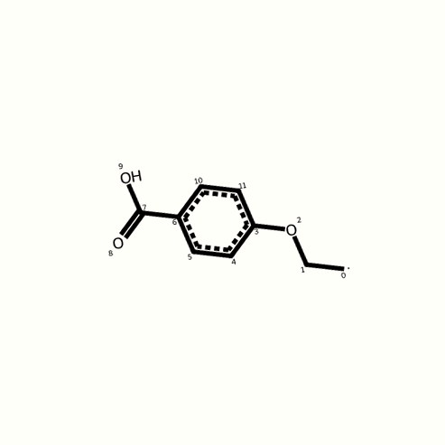 [CH2]COc1ccc(C(=O)O)cc1